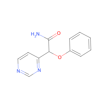 NC(=O)C(Oc1ccccc1)c1ccncn1